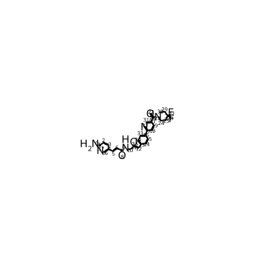 Nc1ccc(C=CC(=O)NCc2cc3ccc(-c4ccc(C(=O)N5CCC(F)(F)CC5)cn4)cc3o2)cn1